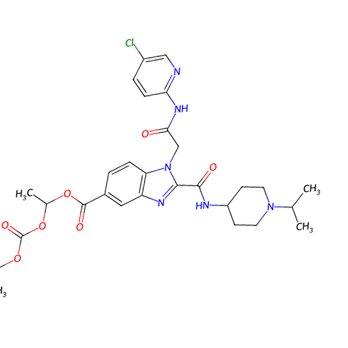 CCOC(=O)OC(C)OC(=O)c1ccc2c(c1)nc(C(=O)NC1CCN(C(C)C)CC1)n2CC(=O)Nc1ccc(Cl)cn1